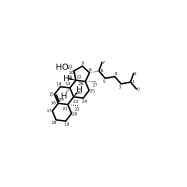 CC(C)CCCC(C)[C@H]1C[C@@H](O)[C@H]2[C@@H]3CC=C4CCCC[C@]4(C)[C@H]3CC[C@@]21C